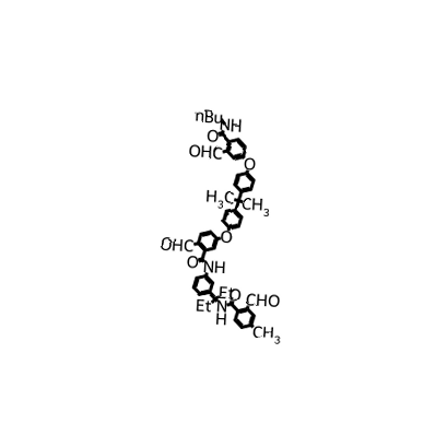 CCCCNC(=O)c1ccc(Oc2ccc(C(C)(C)c3ccc(Oc4ccc(C=O)c(C(=O)Nc5cccc(C(CC)(CC)NC(=O)c6ccc(C)cc6C=O)c5)c4)cc3)cc2)cc1C=O